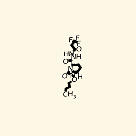 CCCCON1C(=O)N2C[C@@H]1CC[C@H]2C(=O)NNC(=O)CC(F)(F)F